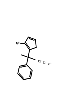 CC(C)(C1=[C]([Ti+3])C=CC1)c1ccccc1.[Cl-].[Cl-].[Cl-]